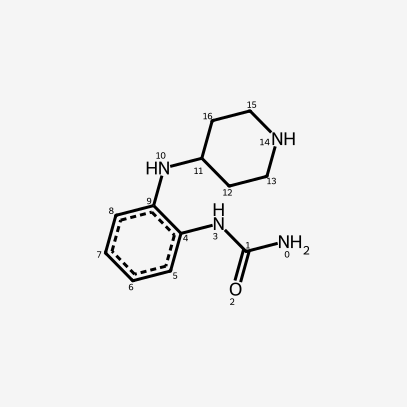 NC(=O)Nc1ccccc1NC1CCNCC1